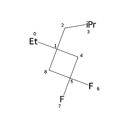 CCC1(CC(C)C)CC(F)(F)C1